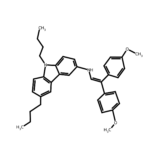 CCCCc1ccc2c(c1)c1cc(NC=C(c3ccc(OC)cc3)c3ccc(OC)cc3)ccc1n2CCCC